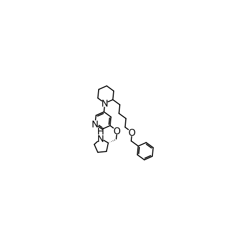 c1ccc(COCCCCC2CCCCN2c2cncc(OC[C@@H]3CCCN3)c2)cc1